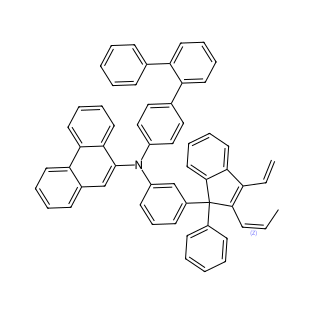 C=CC1=C(/C=C\C)C(c2ccccc2)(c2cccc(N(c3ccc(-c4ccccc4-c4ccccc4)cc3)c3cc4ccccc4c4ccccc34)c2)c2ccccc21